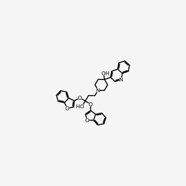 OC(CCN1CCC(O)(c2cnc3ccccc3c2)CC1)(Oc1coc2ccccc12)Oc1coc2ccccc12